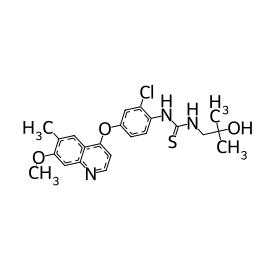 COc1cc2nccc(Oc3ccc(NC(=S)NCC(C)(C)O)c(Cl)c3)c2cc1C